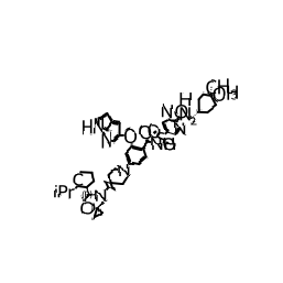 CC(C)C1CCCCC1[C@@H]1COC2(CC2)CN1C1CC2(CCN(c3ccc(C(=O)NS(=O)(=O)c4cnc(NC[C@H]5CC[C@](C)(O)CC5)c([N+](=O)[O-])c4)c(Oc4cnc5[nH]ccc5c4)c3)CC2)C1